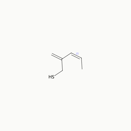 C=C(/C=C\C)CS